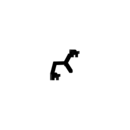 C[C](CC(C)C)C(C)C